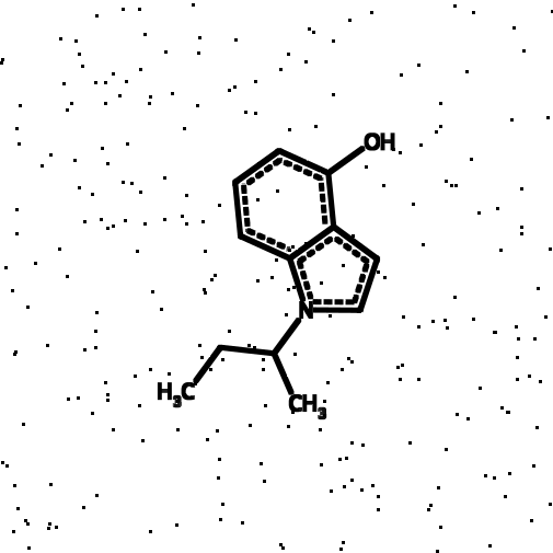 CCC(C)n1ccc2c(O)cccc21